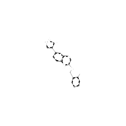 Fc1ccccc1CNc1cnc2cc(-c3cn[nH]c3)ccc2n1